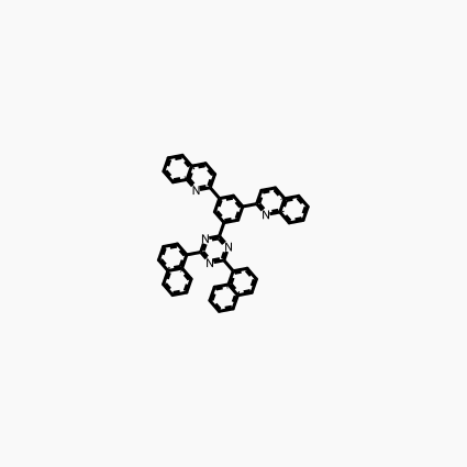 c1ccc2nc(-c3cc(-c4ccc5ccccc5n4)cc(-c4nc(-c5cccc6ccccc56)nc(-c5cccc6ccccc56)n4)c3)ccc2c1